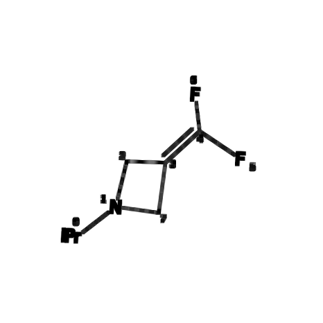 CC(C)N1CC(=C(F)F)C1